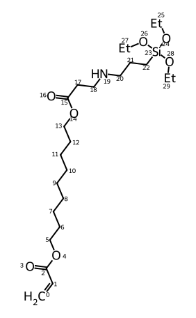 C=CC(=O)OCCCCCCCCCOC(=O)CCNCCC[Si](OCC)(OCC)OCC